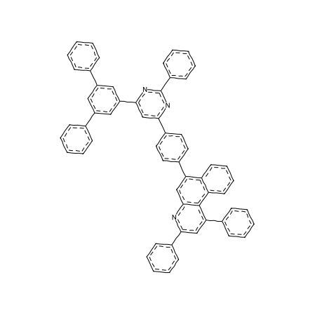 c1ccc(-c2cc(-c3ccccc3)cc(-c3cc(-c4ccc(-c5cc6nc(-c7ccccc7)cc(-c7ccccc7)c6c6ccccc56)cc4)nc(-c4ccccc4)n3)c2)cc1